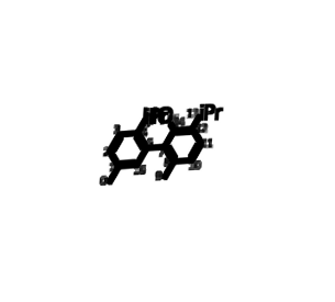 Cc1ccc(C(C)C)c(-c2c(C)ccc(C(C)C)c2O)c1